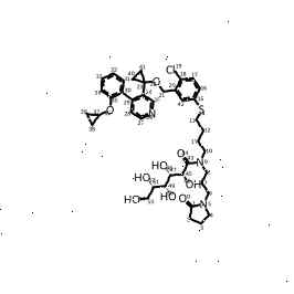 O=C1CCCN1CCCN(CCCCSc1ccc(Cl)c(COC2(c3cnccc3-c3ccccc3OC3CC3)CC2)c1)C(=O)[C@@H](O)[C@@H](O)[C@H](O)[C@@H](O)CO